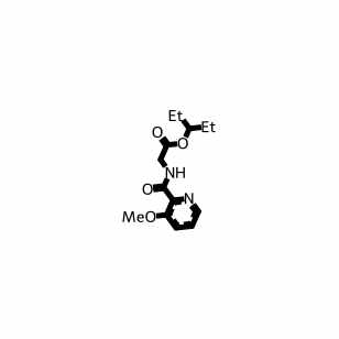 CCC(CC)OC(=O)CNC(=O)c1ncccc1OC